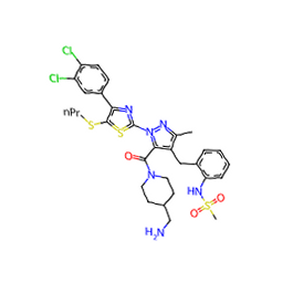 CCCSc1sc(-n2nc(C)c(Cc3ccccc3NS(C)(=O)=O)c2C(=O)N2CCC(CN)CC2)nc1-c1ccc(Cl)c(Cl)c1